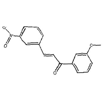 COc1cccc(C(=O)/C=C/c2cccc([N+](=O)[O-])c2)c1